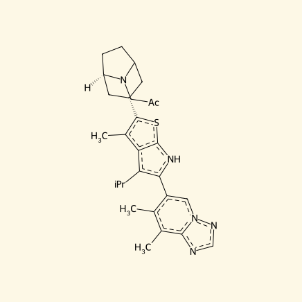 CC(=O)CN1C2CC[C@@H]1C[C@@H](c1sc3[nH]c(-c4cn5ncnc5c(C)c4C)c(C(C)C)c3c1C)C2